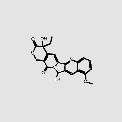 CCC1(O)C(=O)OCc2c1cc1n(c2=O)C(O)c2cc3c(OC)cccc3nc2-1